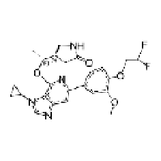 COc1cc(-c2cc3ncn(C4CC4)c3c(O[C@H](C)[C@H]3CNC(=O)C3)n2)ccc1OCC(F)F